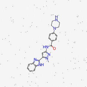 Cn1nc(NC(=O)c2ccc(N3CCNCC3)cc2)cc1-c1nc2ccccc2[nH]1